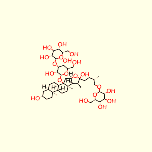 C[C@@H](CC[C@@]1(O)O[C@H]2CC3(O[C@@H]4O[C@H](CO)[C@@H](O)[C@H](O[C@@H]5O[C@H](CO)[C@@H](O)[C@H](O)[C@H]5O)[C@H]4O)[C@@H]4CC[C@@H]5C[C@@H](O)CC[C@]5(C)[C@H]4CC[C@]3(C)[C@H]2[C@@H]1C)CO[C@@H]1O[C@H](CO)[C@@H](O)[C@H](O)[C@H]1O